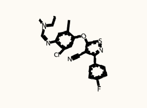 CCN(C)/C=N\c1cc(C)c(Oc2snc(-c3ccc(F)cc3)c2C#N)cc1Cl